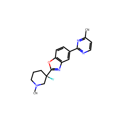 N#Cc1ccnc(-c2ccc3oc([C@@]4(F)CCCN(C#N)C4)nc3c2)n1